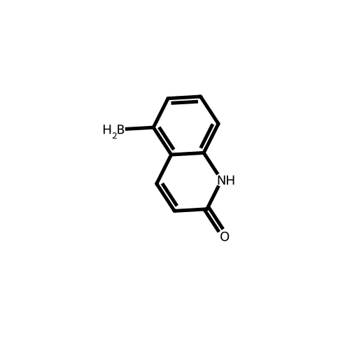 Bc1cccc2[nH]c(=O)ccc12